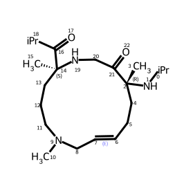 CC(C)N[C@]1(C)CC/C=C/CN(C)CCC[C@@](C)(C(=O)C(C)C)NCC1=O